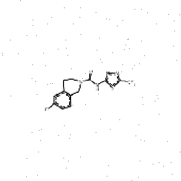 O=C(Nc1nnc(C(F)(F)F)s1)N1CCc2cc(F)ccc2C1